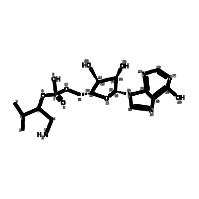 CC(C)C(CN)OP(=O)(O)OC[C@H]1O[C@@H](n2cnc3c(O)ncnc32)[C@H](O)[C@@H]1O